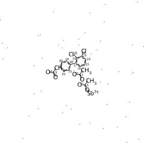 CC(=O)[O-].CC(=O)[O-].CC(=O)[O-].Clc1cccc(-c2ccccc2)c1Cl.[Sb+3]